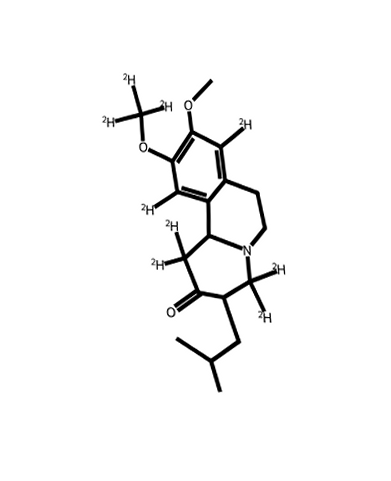 [2H]c1c2c(c([2H])c(OC([2H])([2H])[2H])c1OC)C1N(CC2)C([2H])([2H])C(CC(C)C)C(=O)C1([2H])[2H]